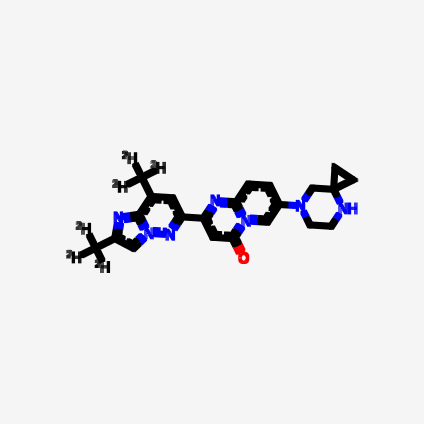 [2H]C([2H])([2H])c1cn2nc(-c3cc(=O)n4cc(N5CCNC6(CC6)C5)ccc4n3)cc(C([2H])([2H])[2H])c2n1